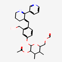 CC(=O)OC1C(Oc2ccc(/C=C3\CCCN=C3c3cccnc3)c(CO)c2)OC(COC=O)C(C)C1C